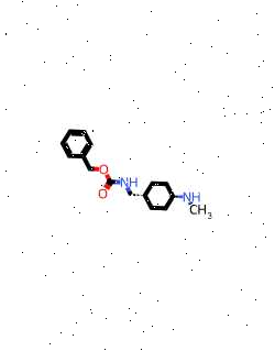 CN[C@H]1CC[C@H](CNC(=O)OCc2ccccc2)CC1